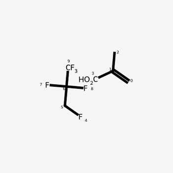 C=C(C)C(=O)O.FCC(F)(F)C(F)(F)F